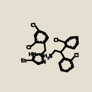 BCC(c1ccccc1Cl)c1ccccc1Cl.CCc1cnc(Cc2ccc(Cl)cc2Cl)[nH]1